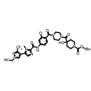 Cn1c(-c2cn(CC#N)nc2C(F)(F)F)cnc1C(=O)Nc1ccc(C(=O)N2CCN(C(=O)C3(O)CCN(C(=O)OC(C)(C)C)CC3)CC2)c(Cl)c1